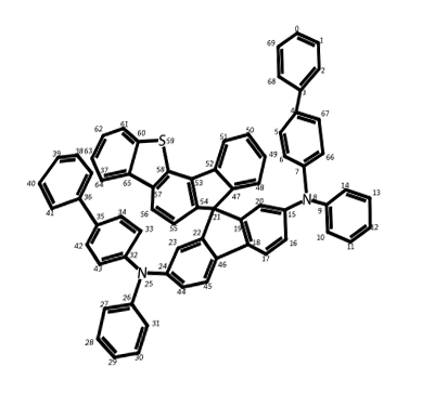 c1ccc(-c2ccc(N(c3ccccc3)c3ccc4c(c3)C3(c5cc(N(c6ccccc6)c6ccc(-c7ccccc7)cc6)ccc5-4)c4ccccc4-c4c3ccc3c4sc4ccccc43)cc2)cc1